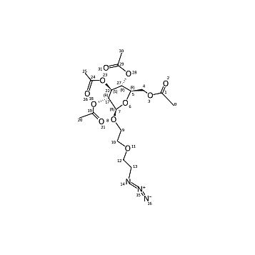 CC(=O)OC[C@H]1O[C@@H](OCCOCCN=[N+]=[N-])[C@H](OC(C)=O)[C@@H](OC(C)=O)[C@@H]1OC(C)=O